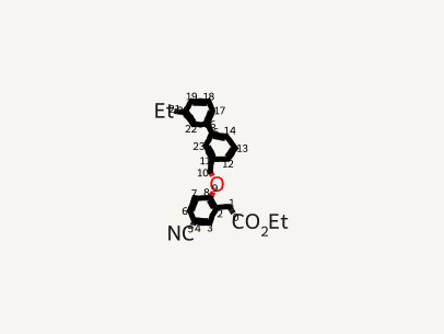 CCOC(=O)Cc1cc(C#N)ccc1OCc1cccc(-c2cccc(CC)c2)c1